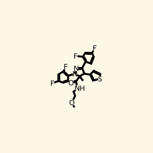 COCCNC(=O)C1(C)C(c2ccsc2)C(c2ccc(F)cc2F)=NN1c1ccc(F)cc1F